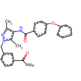 CNC(=O)c1cccc(Cn2nc(C)c(NC(=O)c3ccc(Oc4ccccc4)cc3)c2C)c1